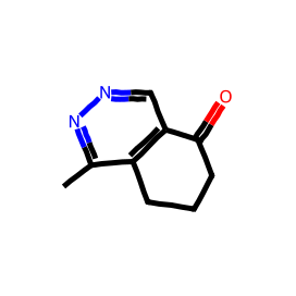 Cc1nncc2c1CCCC2=O